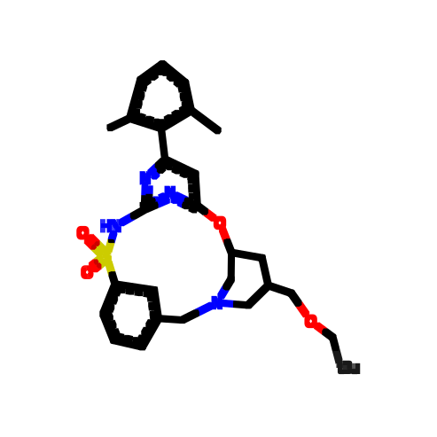 Cc1cccc(C)c1-c1cc2nc(n1)NS(=O)(=O)c1cccc(c1)CN1CC(COCC(C)(C)C)CC(C1)O2